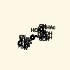 CC(=O)NC1C(O)OC(CO)C(O)C1OC1OC(C(=O)NCCc2ccc(NC(=S)n3ccc4c(N(C)[C@H]5CN(C(=O)CC#N)CC[C@H]5C)ncnc43)cc2)C(O)C(O)C1O